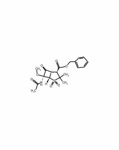 CO[C@@]1(NC(C)=O)C(=O)N2[C@@H](C(=O)OCc3ccccc3)C(C)(C)S(=O)(=O)[C@@H]21